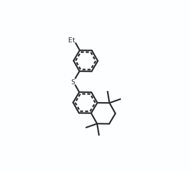 CCc1cccc(Sc2ccc3c(c2)C(C)(C)CCC3(C)C)c1